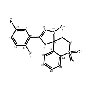 C=S1(=O)CCC2(SC(c3cc(F)ccc3F)=NN2C(C)=O)c2ccccc21